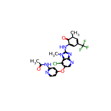 CC(=O)Nc1cc(Oc2cnc3nc(NC4=CC(C(F)(F)F)=CC(C)C4=O)n(C)c3c2Cl)ccn1